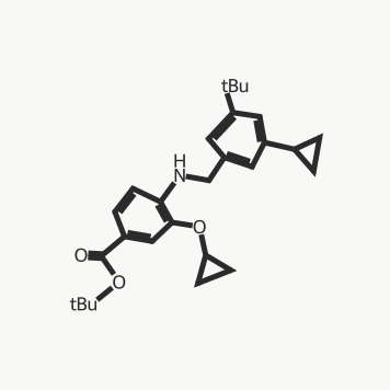 CC(C)(C)OC(=O)c1ccc(NCc2cc(C3CC3)cc(C(C)(C)C)c2)c(OC2CC2)c1